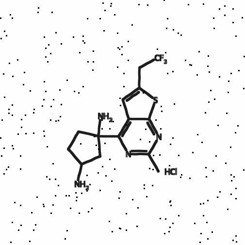 Cc1nc(C2(N)CCC(N)C2)c2cc(CC(F)(F)F)sc2n1.Cl